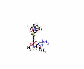 CC(=O)CC(C(=O)NCCN)N(C)C(=O)CCCCCSC1CC(=O)N(C(C)(C)C)C1=O